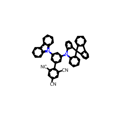 N#Cc1cc(C#N)c(-c2cc(N3c4ccccc4C4(c5ccccc5-c5ccccc54)c4ccccc43)cc(-n3c4ccccc4c4ccccc43)c2)c(C#N)c1